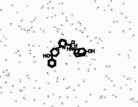 O=C(N[C@H]1C2CC3CC1C[C@](O)(C3)C2)c1cccc(N2CCC(O)(c3ccccc3)CC2)n1